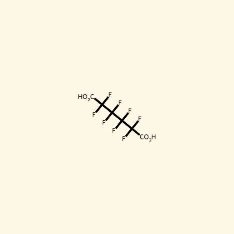 O=C(O)C(F)(F)C(F)(F)C(F)(F)C(F)(F)C(=O)O